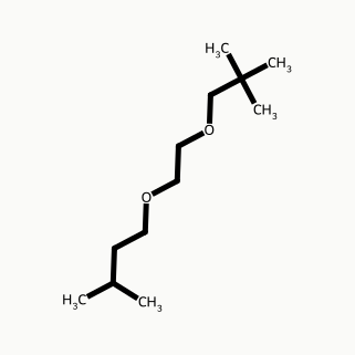 CC(C)CCOCCOCC(C)(C)C